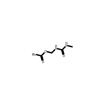 CCC(C)C(=O)OCNC(=O)NI